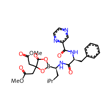 COC(=O)CC1(CC(=O)OC)OB([C@H](CC(C)C)NC(=O)[C@H](Cc2ccccc2)NC(=O)c2cnccn2)OC1=O